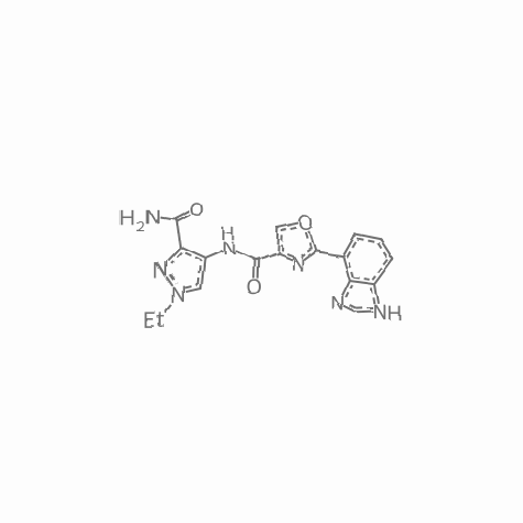 CCn1cc(NC(=O)c2coc(-c3cccc4[nH]cnc34)n2)c(C(N)=O)n1